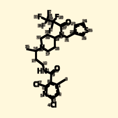 Cc1cc(Cl)nc(Cl)c1C(=O)NCCC(C)N1CCC(N(Cc2ccsc2)C(=O)C(F)(F)C(F)(F)F)CC1